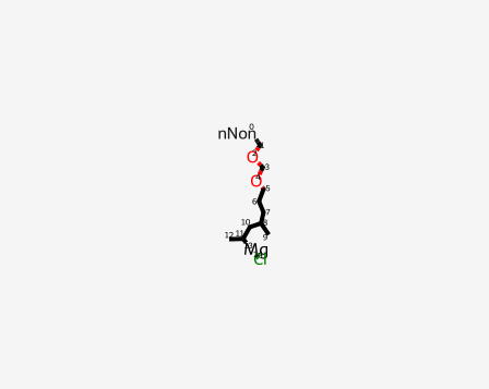 CCCCCCCCCCOCOCCCC(C)C[CH](C)[Mg][Cl]